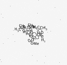 COC(=O)OC1C=C2CC(OC(=O)N(C)C)CC(O[Si](C)(C)C(C)(C)C)[C@]2(C)[C@H]2CC[C@]3(C)[C@@H](C(C)C4OCC(C)(C)CO4)CC[C@H]3[C@H]12